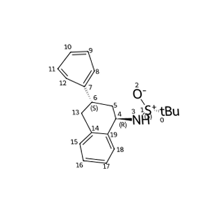 CC(C)(C)[S@@+]([O-])N[C@@H]1C[C@@H](c2ccccc2)Cc2ccccc21